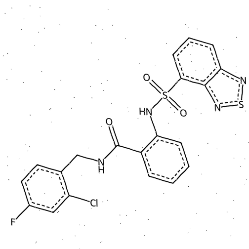 O=C(NCc1ccc(F)cc1Cl)c1ccccc1NS(=O)(=O)c1cccc2nsnc12